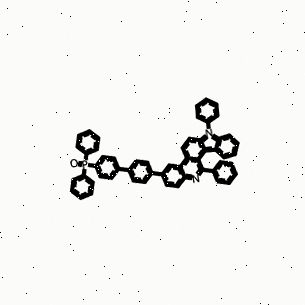 O=P(c1ccccc1)(c1ccccc1)c1ccc(-c2ccc(-c3ccc4nc(-c5ccccc5)c5c(ccc6c5c5ccccc5n6-c5ccccc5)c4c3)cc2)cc1